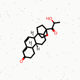 CC(O)C(=O)C12CCC3(CC1)[C@@H]1C=CC4=CC(=O)CC[C@@H]4[C@H]1CC[C@]23C